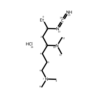 CCC(CC(CCCN(C)C)N(C)C)N=C=N.Cl